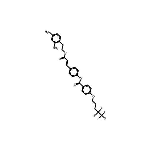 Nc1ccc(CCOC(=O)/C=C/c2ccc(OC(=O)c3ccc(OCCCC(F)(F)C(F)(F)F)cc3)cc2)c(N)c1